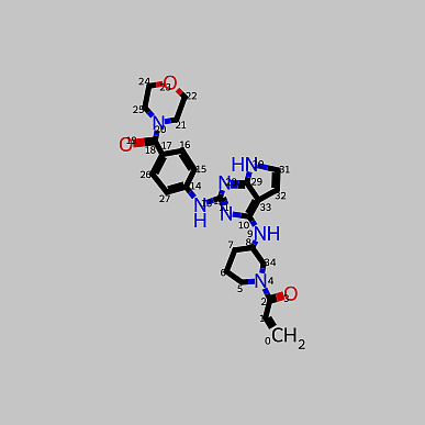 C=CC(=O)N1CCCC(Nc2nc(Nc3ccc(C(=O)N4CCOCC4)cc3)nc3[nH]ccc23)C1